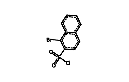 O=S(=O)(Cl)c1ccc2ccccc2c1Br